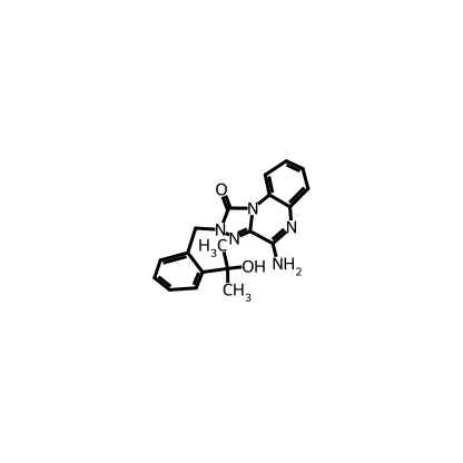 CC(C)(O)c1ccccc1Cn1nc2c(N)nc3ccccc3n2c1=O